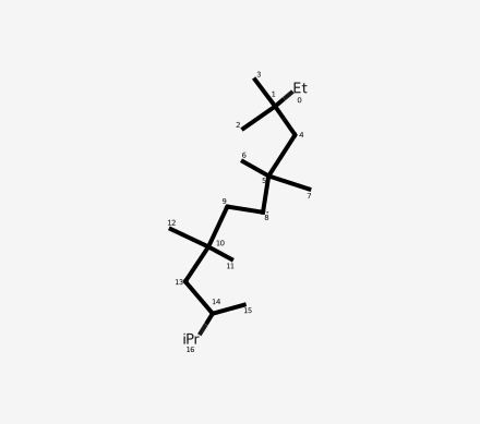 CCC(C)(C)CC(C)(C)[CH]CC(C)(C)CC(C)C(C)C